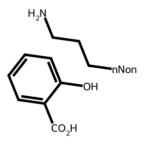 CCCCCCCCCCCCN.O=C(O)c1ccccc1O